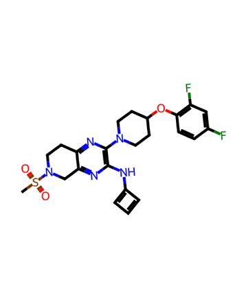 CS(=O)(=O)N1CCc2nc(N3CCC(Oc4ccc(F)cc4F)CC3)c(NC3=CC=C3)nc2C1